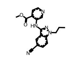 CCCn1nc(Nc2cnccc2C(=O)OC)c2cc(C#N)ccc21